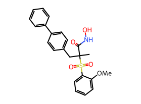 COc1ccccc1S(=O)(=O)C(C)(Cc1ccc(-c2ccccc2)cc1)C(=O)NO